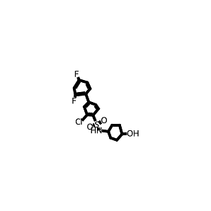 O=S(=O)(NC1CCC(O)CC1)c1ccc(-c2ccc(F)cc2F)cc1Cl